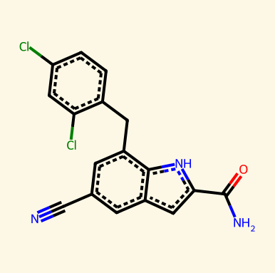 N#Cc1cc(Cc2ccc(Cl)cc2Cl)c2[nH]c(C(N)=O)cc2c1